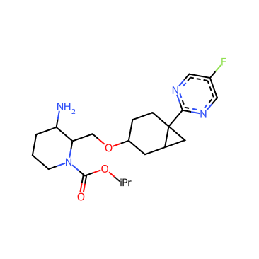 CC(C)OC(=O)N1CCCC(N)C1COC1CCC2(c3ncc(F)cn3)CC2C1